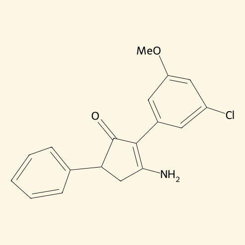 COc1cc(Cl)cc(C2=C(N)CC(c3ccccc3)C2=O)c1